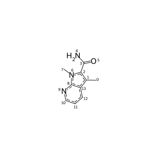 Cc1c(C(N)=O)n(C)c2ncccc12